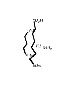 CCCCCCCCCCCCCC(=O)O.CCCCCCCCCCCCCCCCC(=O)O.[BaH2].[LiH]